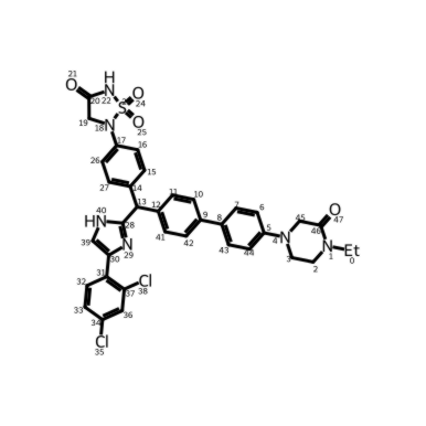 CCN1CCN(c2ccc(-c3ccc(C(c4ccc(N5CC(=O)NS5(=O)=O)cc4)c4nc(-c5ccc(Cl)cc5Cl)c[nH]4)cc3)cc2)CC1=O